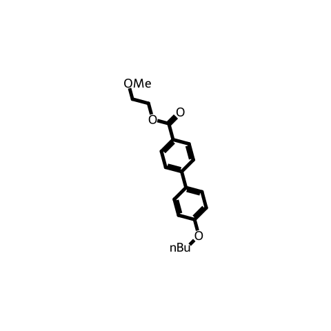 CCCCOc1ccc(-c2ccc(C(=O)OCCOC)cc2)cc1